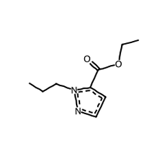 CCCn1nccc1C(=O)OCC